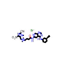 C#Cc1cccc(Nc2ncnc3cnc(NC(=O)/C=C/C[N+](C)(C)Cc4c([N+](=O)[O-])nc(C#N)n4C)cc23)c1.[Br-]